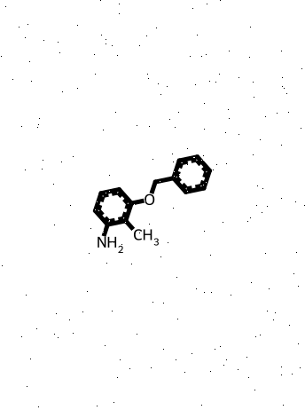 Cc1c(N)cccc1OCc1ccccc1